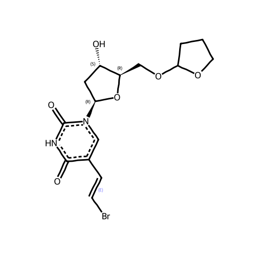 O=c1[nH]c(=O)n([C@H]2C[C@H](O)[C@@H](COC3CCCO3)O2)cc1/C=C/Br